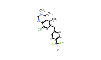 CCN(C)/C=N\c1cc(C)c(Cc2ccc(C(F)(F)F)cc2)cc1Cl